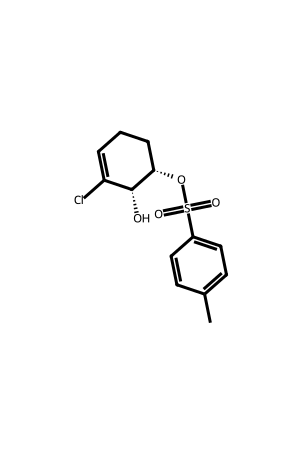 Cc1ccc(S(=O)(=O)O[C@H]2CCC=C(Cl)[C@H]2O)cc1